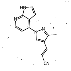 Cc1nn(-c2ccnc3[nH]ccc23)cc1C=CC#N